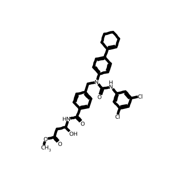 COC(=O)CC(O)NC(=O)c1ccc(CN(C(=O)Nc2cc(Cl)cc(Cl)c2)c2ccc(C3=CCCCC3)cc2)cc1